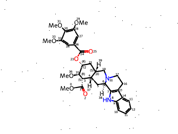 COC(=O)[C@H]1[C@H]2C[C@@H]3c4[nH]c5ccccc5c4CCN3C[C@H]2C[C@@H](OC(=O)c2cc(OC)c(OC)c(OC)c2)[C@@H]1OC